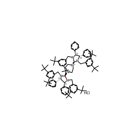 CC(C)(C)c1cc(CN2C(=[N+]3CC[N+](=C4N(Cc5cc(C(C)(C)C)cc(C(C)(C)C)c5)[C@@H](c5ccccc5)[C@H](c5ccccc5)N4Cc4cc(C(C)(C)C)cc(C(C)(C)C)c4)CC3)N(Cc3cc(C(C)(C)C)cc(C(C)(C)C)c3)[C@@H](c3ccccc3)[C@@H]2c2ccccc2)cc(C(C)(C)C)c1.Cl